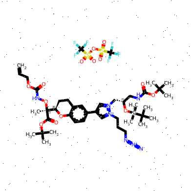 C=CCOC(=O)NO[C@](C)(C(=O)OC(C)(C)C)[C@H]1CCc2cc(-c3cn(C[C@H](CNC(=O)OC(C)(C)C)O[Si](C)(C)C(C)(C)C)[n+](CCCN=[N+]=[N-])c3)ccc2O1.O=S(=O)(OS(=O)(=O)C(F)(F)F)C(F)(F)F